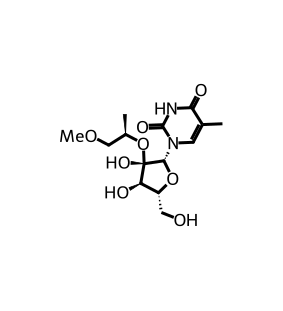 COC[C@@H](C)O[C@@]1(O)[C@H](O)[C@@H](CO)O[C@H]1n1cc(C)c(=O)[nH]c1=O